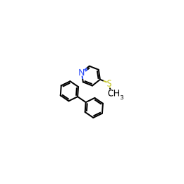 CSc1ccncc1.c1ccc(-c2ccccc2)cc1